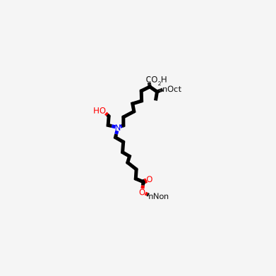 CCCCCCCCCOC(=O)CCCCCCCN(CCO)CCCCCCC(C(=O)O)C(C)CCCCCCCC